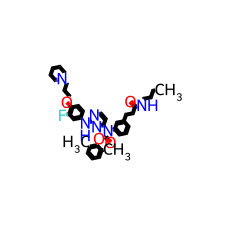 CCCCNC(=O)CCc1cccc(N(C(=O)Oc2c(C)cccc2C)c2ccnc(Nc3ccc(OCCCN4CCCCC4)c(F)c3)n2)c1